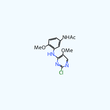 COc1ccc(NC(C)=O)cc1Nc1nc(Cl)ncc1OC